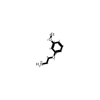 CCOc1cccc(OCCN)c1